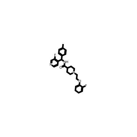 Cc1ccc(C(NC(=O)C2CCN(CCOC3=CCCC=C3F)CC2)c2ccncc2F)cc1